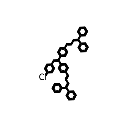 Clc1ccc(C=C(c2ccc(C=CC=C(c3ccccc3)c3ccccc3)cc2)c2ccc(C=CC=C(c3ccccc3)c3ccccc3)cc2)cc1